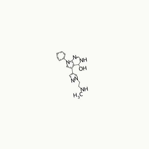 CNCCn1cc(-c2cn(-c3ccccc3)c3c2C(O)NC=N3)cn1